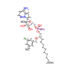 CCCCCCCCCCCCCCCCCCC[C@H](COP(O)(=P)OC[C@H]1O[C@@](C#N)(c2ccc3c(N)ccnn23)[C@H](O)[C@@H]1O)OCc1cc(F)cc(C#N)c1